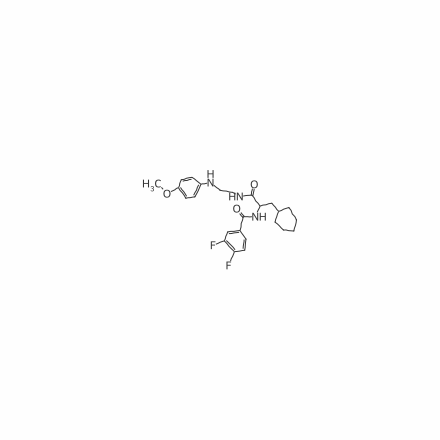 COc1ccc(NCCNC(=O)C(CC2CCCCC2)NC(=O)c2ccc(F)c(F)c2)cc1